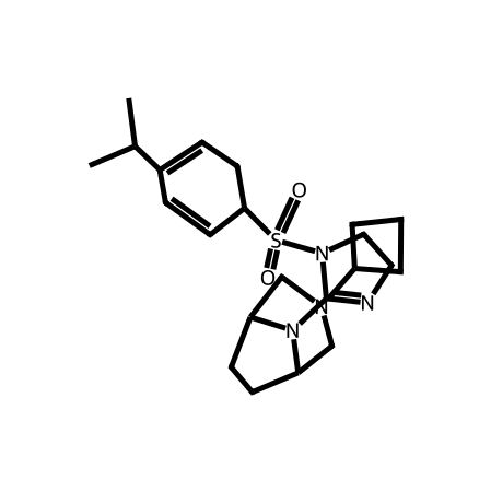 CC(C)C1=CCC(S(=O)(=O)N2CCN=C2N2C3CCC2CN(C2CCC2)C3)C=C1